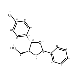 OC[C@@H]1OC(c2ccccc2)O[C@H]1c1ccc(Cl)cc1